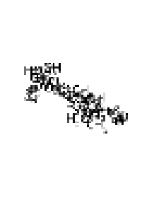 C=C(C)[C@@H]1CC[C@]2(NCCN3CCS(=O)(=O)CC3)CC[C@]3(C)[C@](C)(CCC4[C@@]5(C)CC=C(c6ccc(C(=O)O[C@H]7C[C@@H](O)[C@H](O)[C@@H](C(=O)OCc8ccccc8)O7)cc6)C(C)(C)C5CC[C@]43C)C12